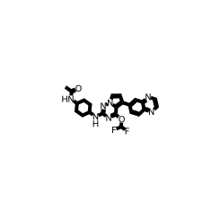 CC(=O)NC1CCC(Nc2nc(OC(F)F)c3c(-c4ccc5nccnc5c4)ccn3n2)CC1